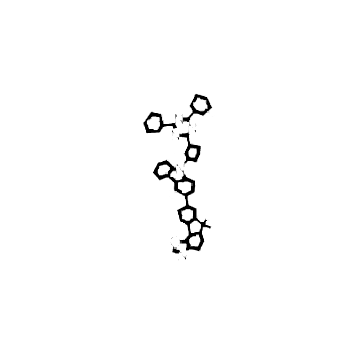 CC1(C)c2cc(-c3ccc4c(c3)c3ccccc3n4-c3cccc(-c4nc(-c5ccccc5)nc(-c5ccccc5)n4)c3)ccc2-c2c1ccc1ncoc21